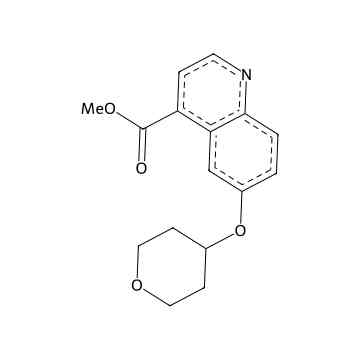 COC(=O)c1ccnc2ccc(OC3CCOCC3)cc12